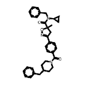 CC1(C(=O)N(Cc2ccccc2)C2CC2)CC(c2ccc(C(=O)N3CCC(Cc4ccccc4)CC3)cc2)=NO1